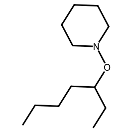 CCCCC(CC)ON1CCCCC1